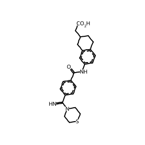 N=C(c1ccc(C(=O)Nc2ccc3c(c2)CC(CC(=O)O)CC3)cc1)N1CCSCC1